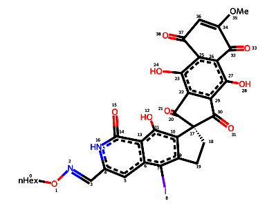 CCCCCCO/N=C/c1cc2c(I)c3c(c(O)c2c(=O)[nH]1)[C@@]1(CC3)C(=O)c2c(O)c3c(c(O)c2C1=O)C(=O)C(OC)=CC3=O